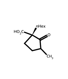 CCCCCC[C@]1(C(=O)O)CCC(C)C1=O